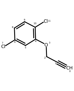 C#CCOc1cc(Cl)c[c]c1Cl